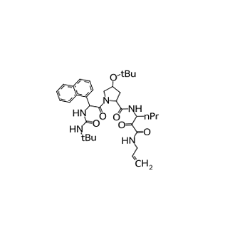 C=CCNC(=O)C(=O)C(CCC)NC(=O)C1CC(OC(C)(C)C)CN1C(=O)C(NC(=O)NC(C)(C)C)c1cccc2ccccc12